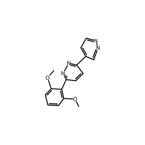 COc1cccc(OC)c1-c1ccc(-c2[c]nncc2)nn1